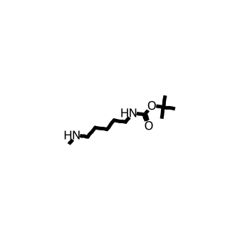 CNCCCCCNC(=O)OC(C)(C)C